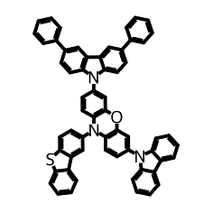 c1ccc(-c2ccc3c(c2)c2cc(-c4ccccc4)ccc2n3-c2ccc3c(c2)Oc2cc(-n4c5ccccc5c5ccccc54)ccc2N3c2ccc3sc4ccccc4c3c2)cc1